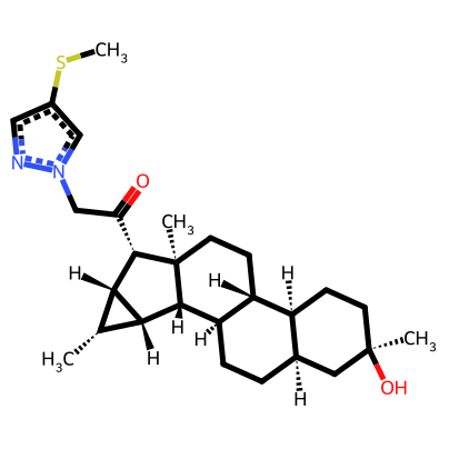 CSc1cnn(CC(=O)[C@H]2[C@H]3[C@@H](C)[C@H]3[C@H]3[C@@H]4CC[C@@H]5C[C@](C)(O)CC[C@@H]5[C@H]4CC[C@@]32C)c1